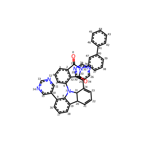 O=C1c2cccc(N3c4c(-c5cncnc5)cccc4C4C=CC=C(c5cncnc5)C43)c2C(=O)N1c1cccc(-c2ccccc2)c1